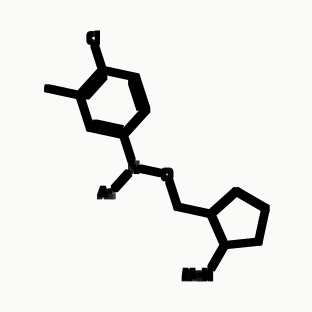 CNC1CCCC1CON(C(C)=O)c1ccc(Cl)c(C)c1